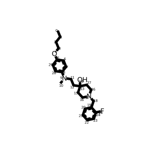 CCCCOc1ccc(N(C)CCC2(O)CCN(Cc3ccccc3F)CC2)cc1